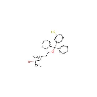 CC(Br)(CCCCOC(c1ccccc1)(c1ccccc1)c1cccc(S)c1)C(=O)O